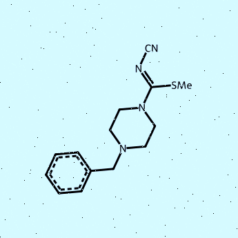 CSC(=NC#N)N1CCN(Cc2ccccc2)CC1